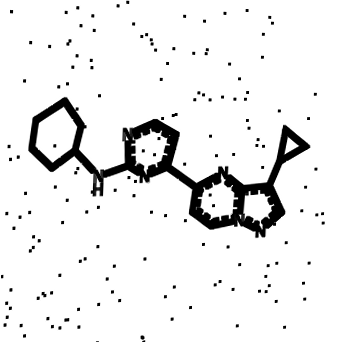 c1cc(-c2ccn3ncc(C4CC4)c3n2)nc(NC2CCCCC2)n1